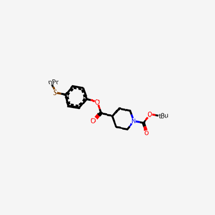 CCCSc1ccc(OC(=O)C2CCN(C(=O)OC(C)(C)C)CC2)cc1